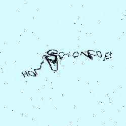 CCOC(=O)CN(C)c1ccc(C=Cc2ccc(S(=O)(=O)CCCCCCO)cc2)cc1